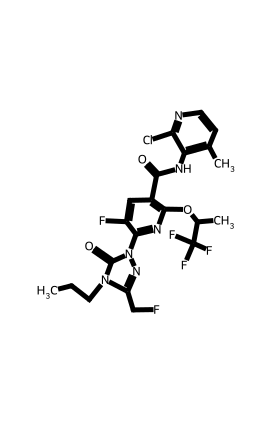 CCCn1c(CF)nn(-c2nc(OC(C)C(F)(F)F)c(C(=O)Nc3c(C)ccnc3Cl)cc2F)c1=O